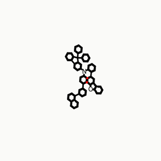 c1ccc(C2(c3ccccc3)c3ccccc3-c3ccc(N(c4ccc(-c5cccc(-c6cccc7ccccc67)c5)cc4)c4ccccc4-c4ccc5oc6ccccc6c5c4)cc32)cc1